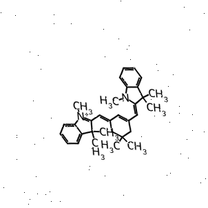 CN1C(=CC2=CC(=CC3=[N+](C)c4ccccc4C3(C)C)CC(C)(C)C2)C(C)(C)c2ccccc21